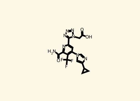 NC(=O)c1nc(-c2nnnn2CC(=O)O)cc(-n2cnc(C3CC3)c2)c1C(F)(F)F